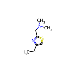 C[CH]c1csc(CN(C)C)n1